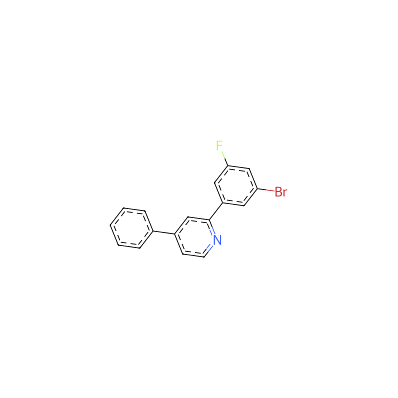 Fc1cc(Br)cc(-c2cc(-c3ccccc3)ccn2)c1